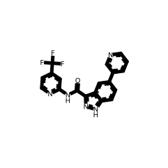 O=C(Nc1cc(C(F)(F)F)ccn1)c1n[nH]c2ccc(-c3cccnc3)cc12